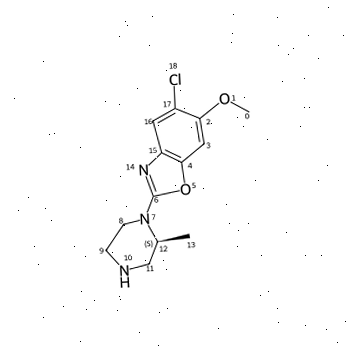 COc1cc2oc(N3CCNC[C@@H]3C)nc2cc1Cl